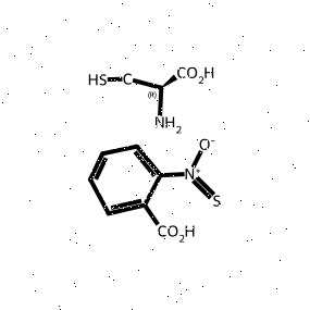 N[C@@H](CS)C(=O)O.O=C(O)c1ccccc1[N+]([O-])=S